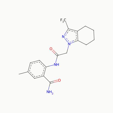 Cc1ccc(NC(=O)Cn2nc(C(F)(F)F)c3c2CCCC3)c(C(N)=O)c1